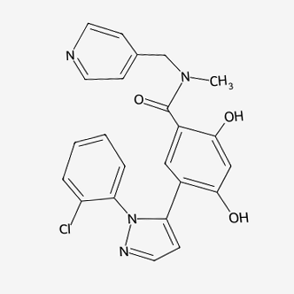 CN(Cc1ccncc1)C(=O)c1cc(-c2ccnn2-c2ccccc2Cl)c(O)cc1O